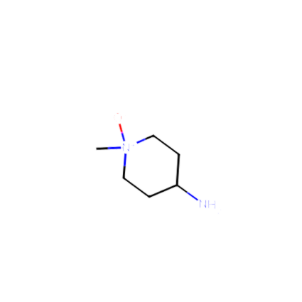 C[N+]1([O-])CCC(N)CC1